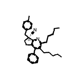 CCCCCc1nc2c(c(-c3ccccc3)c1CCCCC)CC[C@@]2(C#N)Cc1ccc(C)cc1